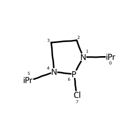 CC(C)N1CCN(C(C)C)P1Cl